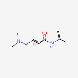 C=C(C)NC(=O)/C=C/CN(C)C